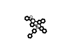 c1ccc(-c2ccc(N3B4c5cccc6c5C(Cc5oc7ccccc7c5-6)c5cc6ccccc6c(c54)-c4cc5ccccc5cc43)cc2)cc1